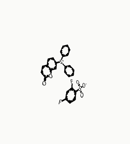 O=S(=O)([O-])c1ccc(F)cc1F.O=c1ccc2ccc([S+](c3ccccc3)c3ccccc3)cc2o1